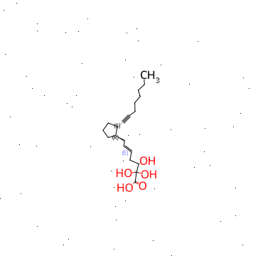 CCCCCCC#C[C@H]1CCC[C@@H]1C/C=C/CC(O)C(O)(O)C(=O)O